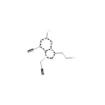 C#CCn1cc(CCN)c2cc(O)cc(C#C)c21